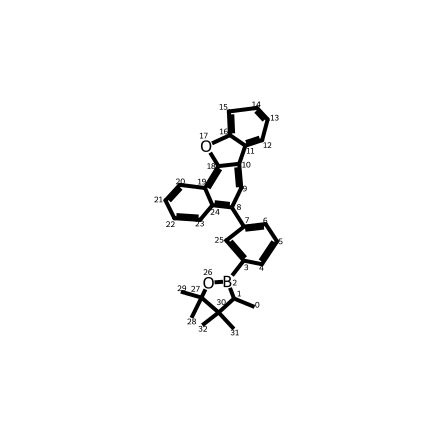 CC1B(c2cccc(-c3cc4c5ccccc5oc4c4ccccc34)c2)OC(C)(C)C1(C)C